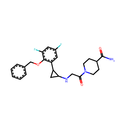 NC(=O)C1CCN(C(=O)CNC2CC2c2cc(F)cc(F)c2OCc2ccccc2)CC1